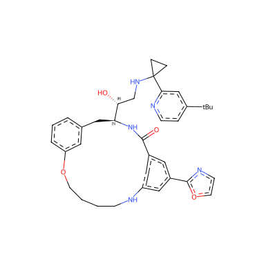 CC(C)(C)c1ccnc(C2(NC[C@@H](O)[C@@H]3Cc4cccc(c4)OCCCCNc4cc(cc(-c5ncco5)c4)C(=O)N3)CC2)c1